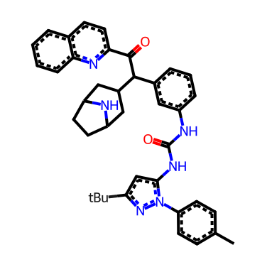 Cc1ccc(-n2nc(C(C)(C)C)cc2NC(=O)Nc2cccc(C(C(=O)c3ccc4ccccc4n3)C3CC4CCC(C3)N4)c2)cc1